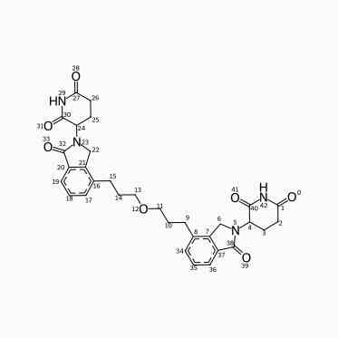 O=C1CCC(N2Cc3c(CCCOCCCc4cccc5c4CN(C4CCC(=O)NC4=O)C5=O)cccc3C2=O)C(=O)N1